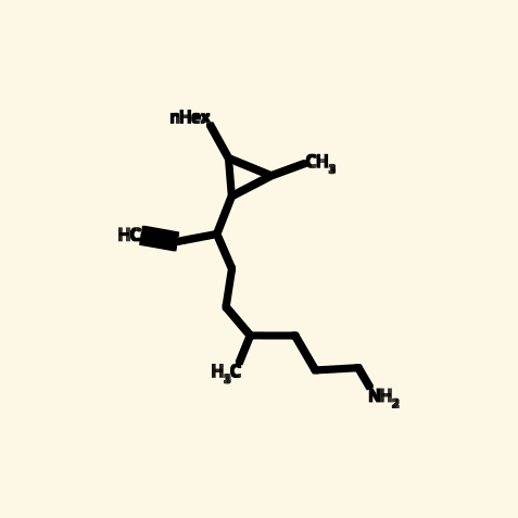 C#CC(CCC(C)CCCN)C1C(C)C1CCCCCC